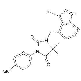 CC(C)(C)c1ccc(N2C(=O)N(Cc3ccnc4[nH]cc(Cl)c34)C(C)(C)C2=O)cc1